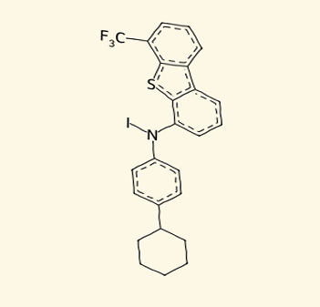 FC(F)(F)c1cccc2c1sc1c(N(I)c3ccc(C4CCCCC4)cc3)cccc12